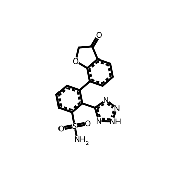 NS(=O)(=O)c1cccc(-c2cccc3c2OCC3=O)c1-c1nn[nH]n1